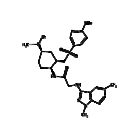 CSc1ccc(S(=O)(=O)C[C@@H]2C[C@H](N(C)C(C)C)CC[C@@H]2NC(=O)CNc2nn(C)c3ccc(C(F)(F)F)cc23)cc1